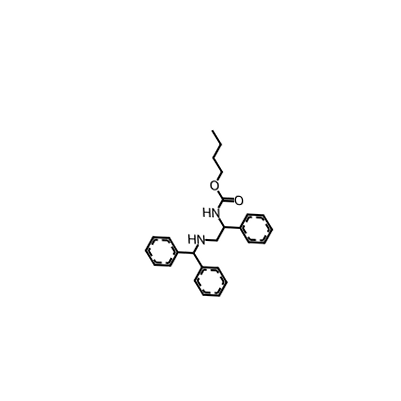 CCCCOC(=O)NC(CNC(c1ccccc1)c1ccccc1)c1ccccc1